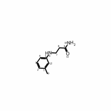 Cc1cccc(NCCC(N)=O)c1